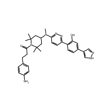 CN(c1ccc(-c2ccc(-c3cn[nH]c3)cc2O)nn1)C1CC(C)(C)N(C(=O)CCc2ccc(N)cc2)C(C)(C)C1